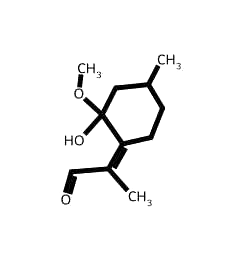 COC1(O)CC(C)CC/C1=C(\C)C=O